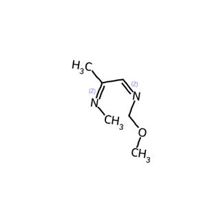 C/N=C(C)\C=N/COC